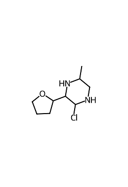 CC1CNC(Cl)C(C2CCCO2)N1